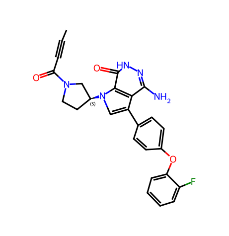 CC#CC(=O)N1CC[C@H](n2cc(-c3ccc(Oc4ccccc4F)cc3)c3c(N)n[nH]c(=O)c32)C1